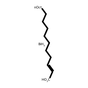 CCCCCCCCCCCCCCCC=CC(=O)O.[BiH3]